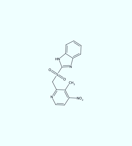 Cc1c([N+](=O)[O-])ccnc1CS(=O)(=O)c1nc2ccccc2[nH]1